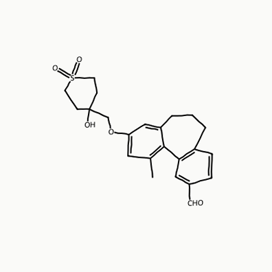 Cc1cc(OCC2(O)CCS(=O)(=O)CC2)cc2c1-c1cc(C=O)ccc1CCC2